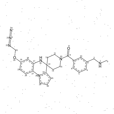 CNCc1cccc(C(=O)N2CCC3(CC2)Nc2cc(OCN=[N+]=[N-])ccc2-n2cccc23)c1